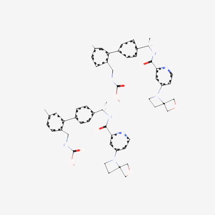 C[C@@H](NC(=O)c1cc(N2CCC23COC3)ccn1)c1ccc(-c2cc(C(F)(F)F)ccc2CNC(=O)OC(C)(C)C)cc1.C[C@@H](NC(=O)c1cc(N2CCC23COC3)ccn1)c1ccc(-c2cc(C(F)(F)F)ccc2CNC(=O)OC(C)(C)C)cc1